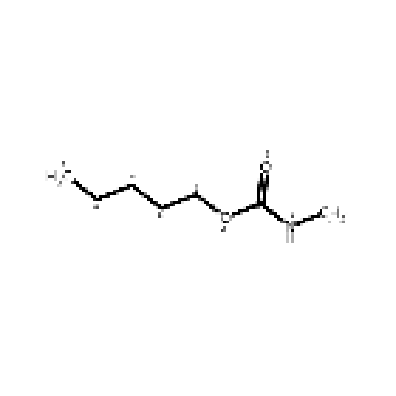 [CH2]NC(=O)OCCCCC